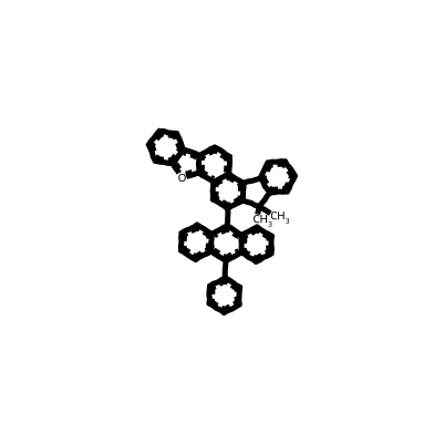 CC1(C)c2ccccc2-c2c1c(-c1c3ccccc3c(-c3ccccc3)c3ccccc13)cc1c2ccc2c3ccccc3oc12